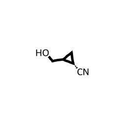 N#C[C@H]1CC1CO